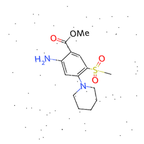 COC(=O)c1cc(S(C)(=O)=O)c(N2CCCCC2)cc1N